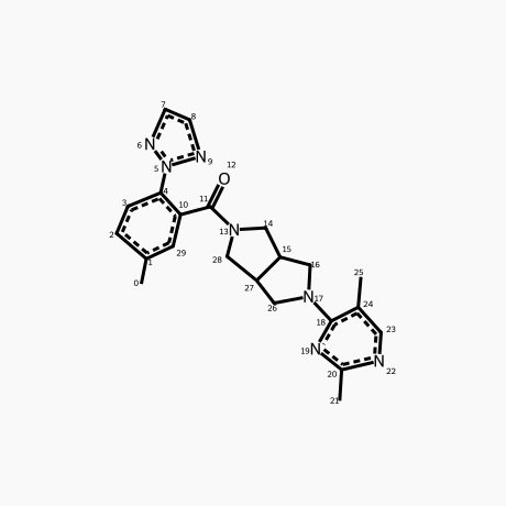 Cc1ccc(-n2nccn2)c(C(=O)N2CC3CN(c4nc(C)ncc4C)CC3C2)c1